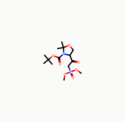 COP(=O)(CC(=O)C1COC(C)(C)N1C(=O)OC(C)(C)C)OC